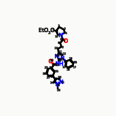 CCOC(=O)C1CCCN(C(=O)CCCc2cn(-c3ccccc3)c(NC(=O)c3cccc(-c4cnn(C)c4)c3)n2)C1